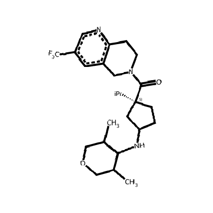 CC1COCC(C)C1NC1CC[C@@](C(=O)N2CCc3ncc(C(F)(F)F)cc3C2)(C(C)C)C1